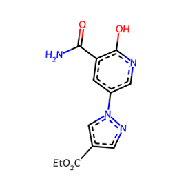 CCOC(=O)c1cnn(-c2cnc(O)c(C(N)=O)c2)c1